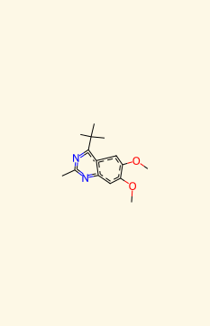 COc1cc2nc(C)nc(C(C)(C)C)c2cc1OC